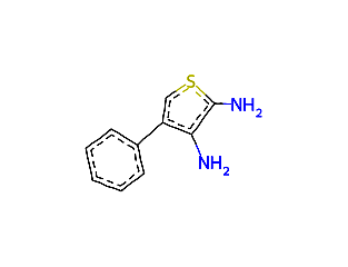 Nc1scc(-c2ccccc2)c1N